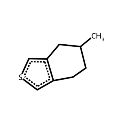 CC1CCc2cscc2C1